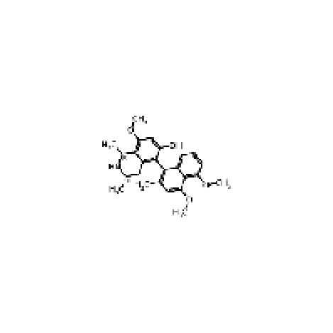 COc1cc(O)c(-c2c(C)cc(OC)c3c(OC)cccc23)c2c1[C@H](C)N[C@@H](C)C2